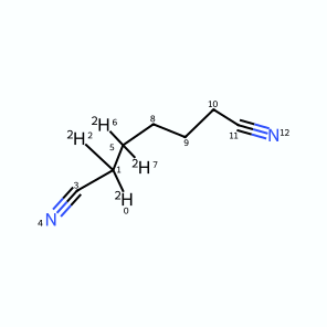 [2H]C([2H])(C#N)C([2H])([2H])CCCC#N